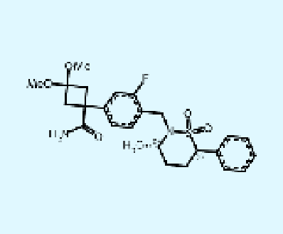 COC1(OC)CC(C(N)=O)(c2ccc(CN3[C@@H](C)CC[C@H](c4ccccc4)S3(=O)=O)c(F)c2)C1